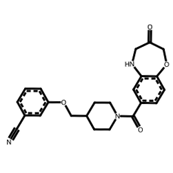 N#Cc1cccc(OCC2CCN(C(=O)c3ccc4c(c3)NCC(=O)CO4)CC2)c1